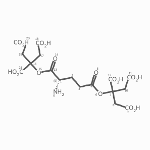 N[C@@H](CCC(=O)OC(CC(=O)O)(CC(=O)O)C(=O)O)C(=O)OC(CC(=O)O)(CC(=O)O)C(=O)O